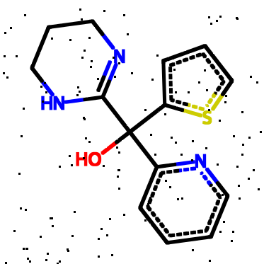 OC(C1=NCCCN1)(c1ccccn1)c1cccs1